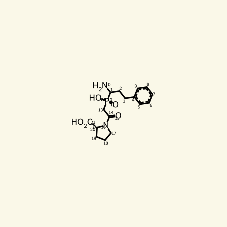 NC(CCc1ccccc1)P(=O)(O)CC(=O)N1CCC[C@H]1C(=O)O